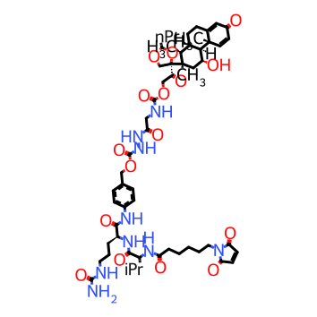 CCCC1OC[C@](C(=O)COC(=O)NCC(=O)NNC(=O)OCc2ccc(NC(=O)[C@H](CCCNC(N)=O)NC(=O)C(NC(=O)CCCCCN3C(=O)C=CC3=O)C(C)C)cc2)([C@@]2(C)C[C@H](O)[C@H]3[C@@H](CCC4=CC(=O)C=C[C@@]43C)[C@@H]2C)O1